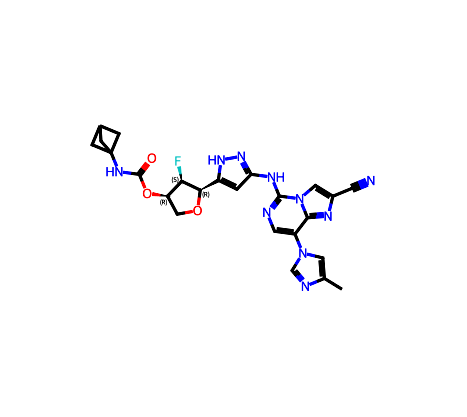 Cc1cn(-c2cnc(Nc3cc([C@H]4OC[C@@H](OC(=O)NC56CC(C5)C6)[C@H]4F)[nH]n3)n3cc(C#N)nc23)cn1